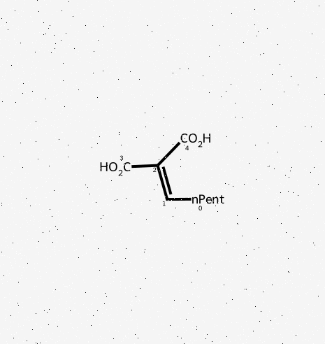 CCCCCC=C(C(=O)O)C(=O)O